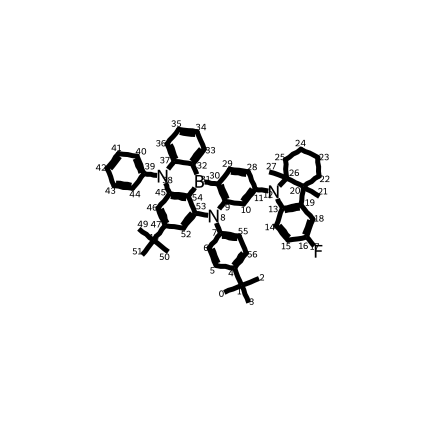 CC(C)(C)c1ccc(N2c3cc(N4c5ccc(F)cc5C5(C)CCCCC45C)ccc3B3c4ccccc4N(c4ccccc4)c4cc(C(C)(C)C)cc2c43)cc1